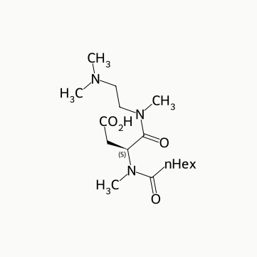 CCCCCCC(=O)N(C)[C@@H](CC(=O)O)C(=O)N(C)CCN(C)C